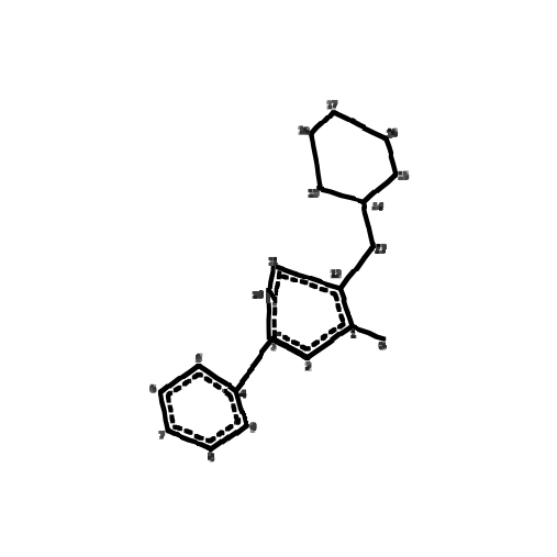 Cc1cc(-c2ccccc2)ncc1CC1CCCCC1